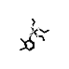 CCO[Si](OCC)(OCC)Oc1cccc(C)c1C